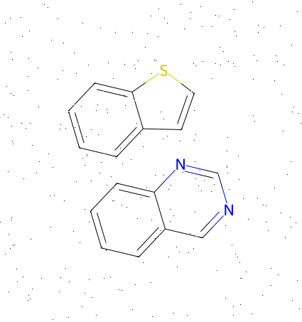 c1ccc2ncncc2c1.c1ccc2sccc2c1